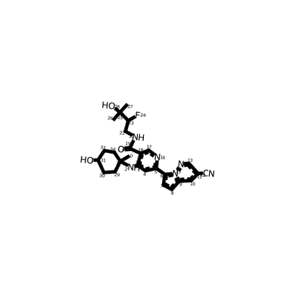 CC1(Nc2cc(-c3ccc4cc(C#N)cnn34)ncc2C(=O)NCC(F)C(C)(C)O)CCC(O)CC1